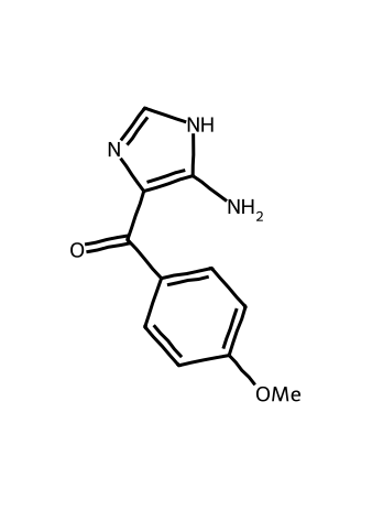 COc1ccc(C(=O)c2nc[nH]c2N)cc1